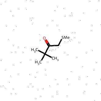 CSCC(=O)C(C)(C)C